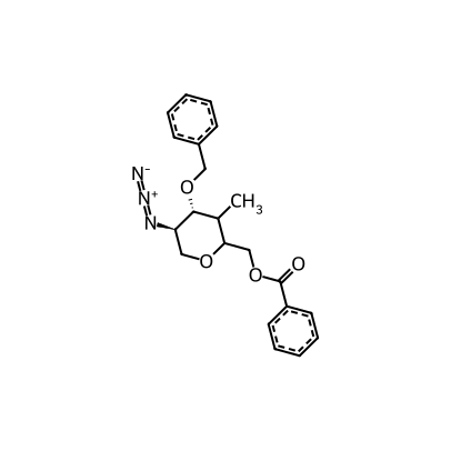 CC1C(COC(=O)c2ccccc2)OC[C@@H](N=[N+]=[N-])[C@@H]1OCc1ccccc1